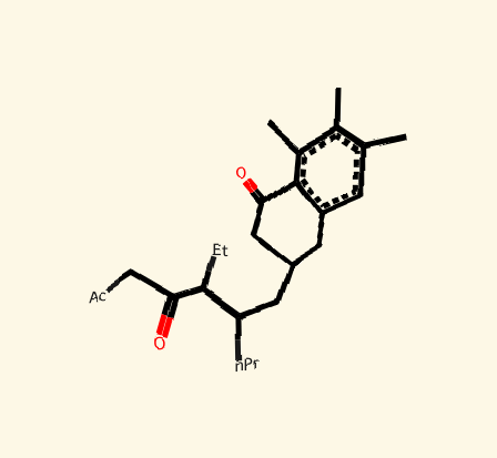 CCCC(CC1CC(=O)c2c(cc(C)c(C)c2C)C1)C(CC)C(=O)CC(C)=O